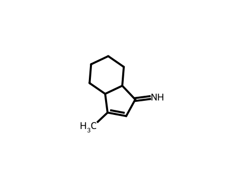 CC1=CC(=N)C2CCCCC12